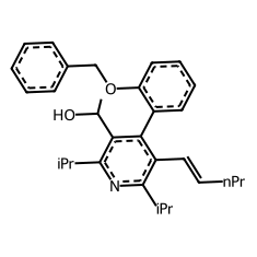 CCCC=Cc1c(C(C)C)nc(C(C)C)c(C(C)O)c1-c1ccccc1OCc1ccccc1